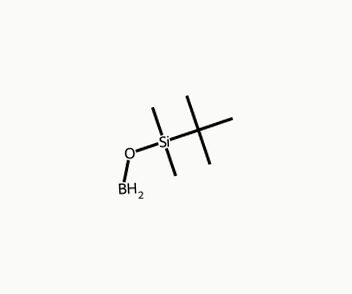 BO[Si](C)(C)C(C)(C)C